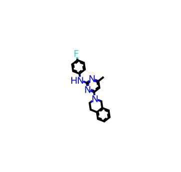 Cc1cc(N2CCc3ccccc3C2)nc(Nc2ccc(F)cc2)n1